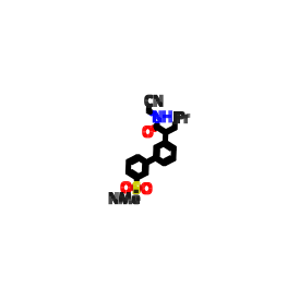 CNS(=O)(=O)c1cccc(-c2cccc(C(CC(C)C)C(=O)NCC#N)c2)c1